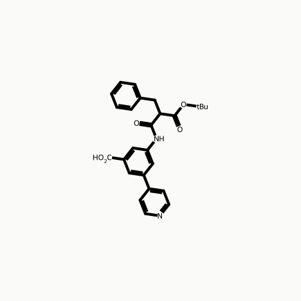 CC(C)(C)OC(=O)C(Cc1ccccc1)C(=O)Nc1cc(C(=O)O)cc(-c2ccncc2)c1